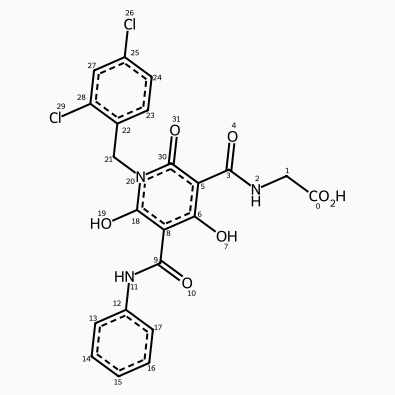 O=C(O)CNC(=O)c1c(O)c(C(=O)Nc2ccccc2)c(O)n(Cc2ccc(Cl)cc2Cl)c1=O